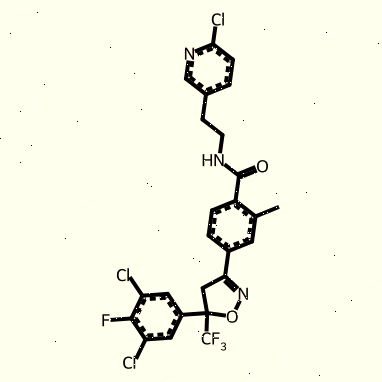 Cc1cc(C2=NOC(c3cc(Cl)c(F)c(Cl)c3)(C(F)(F)F)C2)ccc1C(=O)NCCc1ccc(Cl)nc1